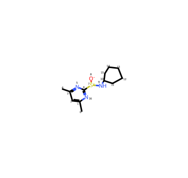 Cc1cc(C)nc([S+]([O-])NC2CCCCC2)n1